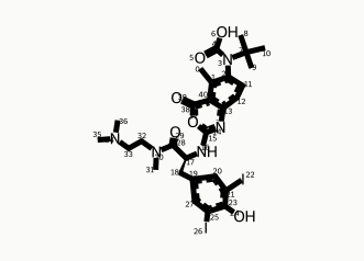 Cc1c(N(C(=O)O)C(C)(C)C)ccc2nc(N[C@@H](Cc3cc(I)c(O)c(I)c3)C(=O)N(C)CCN(C)C)oc(=O)c12